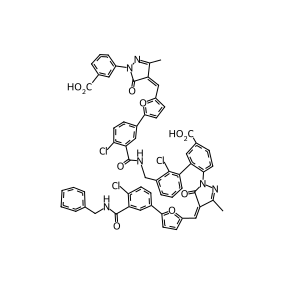 CC1=NN(c2cccc(C(=O)O)c2)C(=O)/C1=C\c1ccc(-c2ccc(Cl)c(C(=O)NCc3cccc(-c4cc(C(=O)O)ccc4N4N=C(C)/C(=C/c5ccc(-c6ccc(Cl)c(C(=O)NCc7ccccc7)c6)o5)C4=O)c3Cl)c2)o1